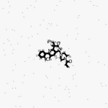 C=CC(=O)N1C[C@H](C)N(C2=NC(=O)C(C)(CC(C)C)c3nc(-c4ccccc4F)c(Cl)cc32)C[C@H]1C